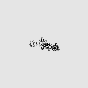 O=C(NCCCCc1ccccc1)[C@H](Cc1ccc(OP(=O)(O)C(F)F)cc1)NS(=O)(=O)c1cccs1